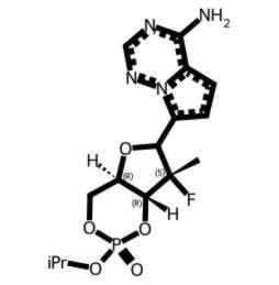 CC(C)OP1(=O)OC[C@H]2OC(c3ccc4c(N)ncnn34)[C@](C)(F)[C@@H]2O1